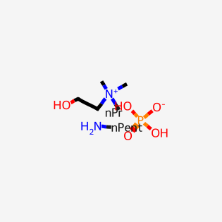 CCCCCN.CCC[N+](C)(C)CCO.O=P([O-])(O)O